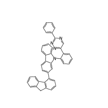 c1ccc(-c2ncc(-c3ccccc3-n3c4ccccc4c4ccc(-c5cccc6c5-c5ccccc5C6)cc43)nn2)cc1